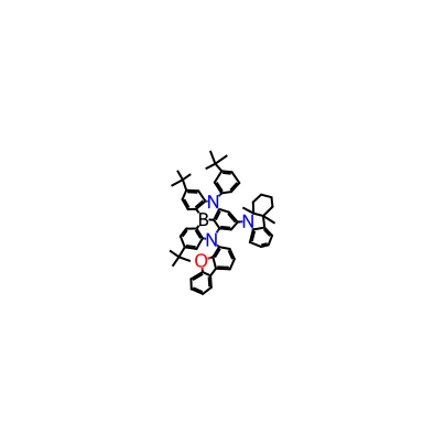 CC(C)(C)c1cccc(N2c3cc(C(C)(C)C)ccc3B3c4ccc(C(C)(C)C)cc4N(c4cccc5c4oc4ccccc45)c4cc(N5c6ccccc6C6(C)CCCCC56C)cc2c43)c1